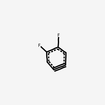 Fc1cc#ccc1F